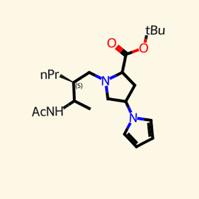 CCC[C@@H](CN1CC(n2cccc2)CC1C(=O)OC(C)(C)C)C(C)NC(C)=O